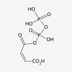 O=C(O)/C=C\C(=O)OP(=O)(O)OP(=O)(O)O